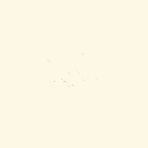 CCCSc1nc(N[C@@H]2C[C@H]2c2ccc(F)c(F)c2)c2nnn([C@@H]3C[C@H](OCC(=O)N(c4ccccc4)c4ccccc4)[C@H]4OC(C)(C)O[C@H]43)c2n1